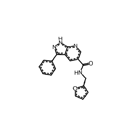 O=C(NCc1ccco1)c1cnc2[nH]nc(-c3ccccc3)c2c1